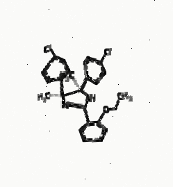 CCOc1ccccc1C1=N[C@@](C)(c2ccc(Cl)cc2)[C@@](C)(c2ccc(Cl)cc2)N1